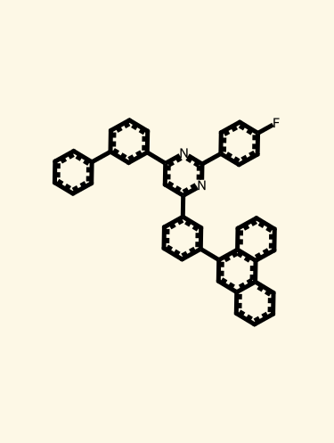 Fc1ccc(-c2nc(-c3cccc(-c4ccccc4)c3)cc(-c3cccc(-c4cc5ccccc5c5ccccc45)c3)n2)cc1